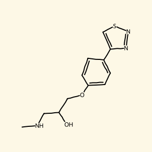 CNCC(O)COc1ccc(-c2csnn2)cc1